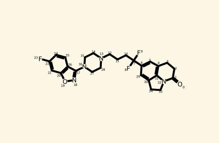 O=C1CCc2cc(C(F)(F)CCCN3CCN(c4noc5cc(F)ccc45)CC3)cc3c2N1CC3